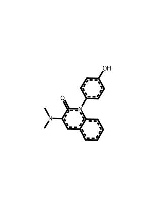 CN(C)c1cc2ccccc2n(-c2ccc(O)cc2)c1=O